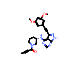 CC#CC(=O)N1CCC[C@H](Nc2ncnc3[nH]nc(C#Cc4cc(OC)cc(OC)c4)c23)C1